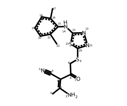 C/C(N)=C(\C#N)C(=O)CSc1nnc(Nc2c(C)cccc2C)s1